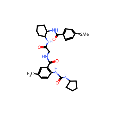 CSc1ccc(C(=O)NC2CCCCC2NC(=O)CNC(=O)c2cc(C(F)(F)F)ccc2NC(=O)NC2CCCC2)cc1